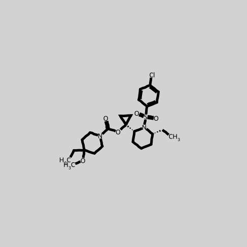 CC[C@@H]1CCC[C@H](C2(OC(=O)N3CCC(CC)(OC)CC3)CC2)N1S(=O)(=O)c1ccc(Cl)cc1